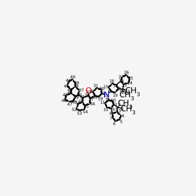 CC1(C)c2ccccc2-c2ccc(N(c3ccc4c(c3)C(C)(C)c3ccccc3-4)c3ccc4oc5c(-c6cc7ccccc7c7ccccc67)c6ccccc6cc5c4c3)cc21